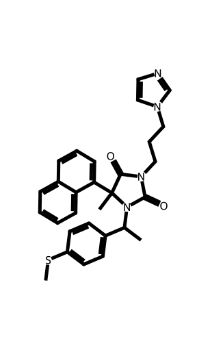 CSc1ccc(C(C)N2C(=O)N(CCCn3ccnc3)C(=O)C2(C)c2cccc3ccccc23)cc1